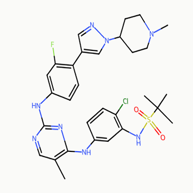 Cc1cnc(Nc2ccc(-c3cnn(C4CCN(C)CC4)c3)c(F)c2)nc1Nc1ccc(Cl)c(NS(=O)(=O)C(C)(C)C)c1